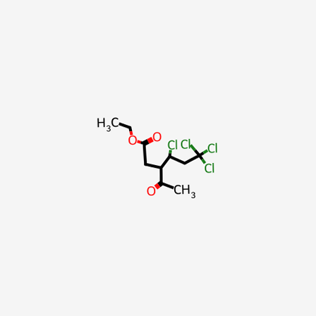 CCOC(=O)CC(C(C)=O)C(Cl)CC(Cl)(Cl)Cl